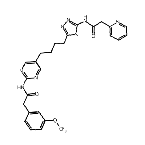 O=C(Cc1cccc(OC(F)(F)F)c1)Nc1ncc(CCCCc2nnc(NC(=O)Cc3ccccn3)s2)cn1